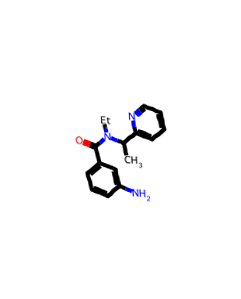 CCN(C(=O)c1cccc(N)c1)C(C)c1ccccn1